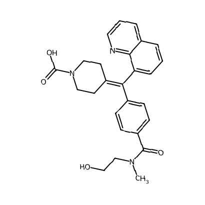 CN(CCO)C(=O)c1ccc(C(=C2CCN(C(=O)O)CC2)c2cccc3cccnc23)cc1